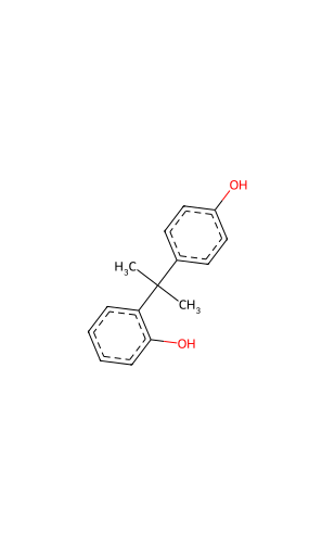 CC(C)(c1ccc(O)cc1)c1ccccc1O